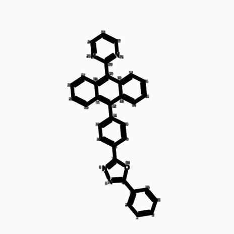 c1ccc(-c2nnc(-c3ccc(-c4c5ccccc5c(-c5ncccn5)c5ccccc45)cc3)o2)cc1